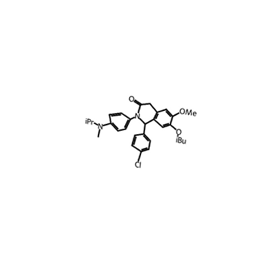 CCC(C)Oc1cc2c(cc1OC)CC(=O)N(c1ccc(N(C)C(C)C)cc1)C2c1ccc(Cl)cc1